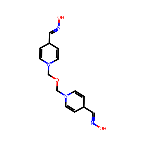 ON=CC1C=CN(COCN2C=CC(C=NO)C=C2)C=C1